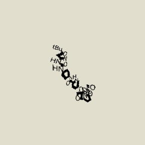 CC(C)(C)c1cc(NC(=O)Nc2ccc(NC(=O)c3ccc(OC4([N+]5(OS(C)(=O)=O)CCCC5)COC4)cn3)cc2)no1